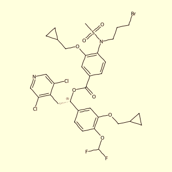 CS(=O)(=O)N(CCCBr)c1ccc(C(=O)O[C@@H](Cc2c(Cl)cncc2Cl)c2ccc(OC(F)F)c(OCC3CC3)c2)cc1OCC1CC1